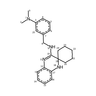 CN(C)c1cccc(CNC2=Nc3ccccc3NC23CCCCC3)c1